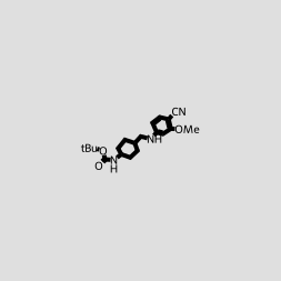 COc1cc(NCC2CCC(NC(=O)OC(C)(C)C)CC2)ccc1C#N